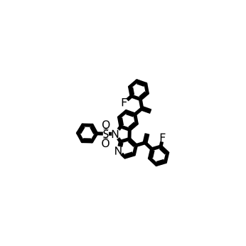 C=C(c1ccc2c(c1)c1c(C(=C)c3ccccc3F)ccnc1n2S(=O)(=O)c1ccccc1)c1ccccc1F